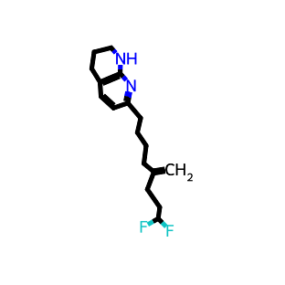 C=C(CCCCc1ccc2c(n1)NCCC2)CCC(F)F